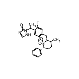 CC(c1cc(F)c(CN2[C@@H](C)CC[C@H](c3ccccc3)S2(=O)=O)cc1F)n1[nH]cnc1=O